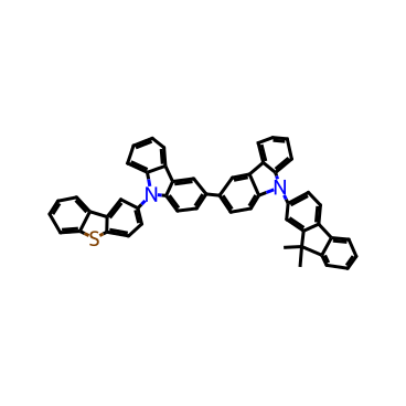 CC1(C)c2ccccc2-c2ccc(-n3c4ccccc4c4cc(-c5ccc6c(c5)c5ccccc5n6-c5ccc6sc7ccccc7c6c5)ccc43)cc21